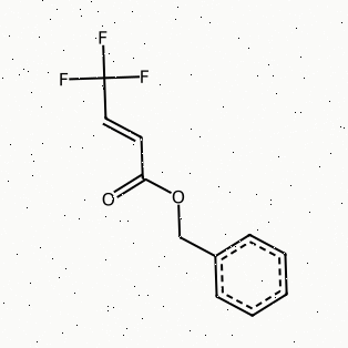 O=C(C=CC(F)(F)F)OCc1ccccc1